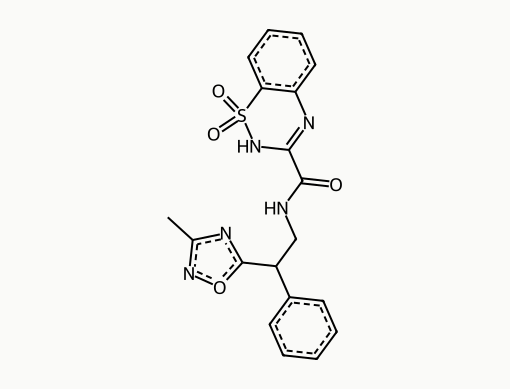 Cc1noc(C(CNC(=O)C2=Nc3ccccc3S(=O)(=O)N2)c2ccccc2)n1